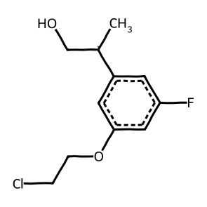 C[C](CO)c1cc(F)cc(OCCCl)c1